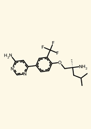 CC(C)C[C@](C)(N)COc1ccc(-c2cc(N)ncn2)cc1C(F)(F)F